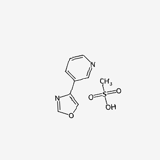 CS(=O)(=O)O.c1cncc(-c2cocn2)c1